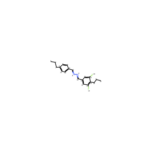 CCCc1ccc(C=NN=Cc2cc(F)c(CCC)c(F)c2)cc1